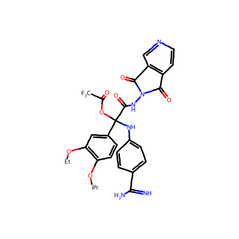 CCOc1cc(C(Nc2ccc(C(=N)N)cc2)(OC(=O)C(F)(F)F)C(=O)NN2C(=O)c3ccncc3C2=O)ccc1OC(C)C